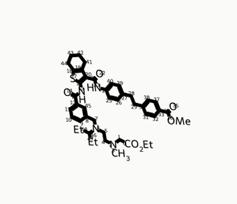 CCOC(=O)CN(C)CCN(Cc1cccc(C(=O)Nc2sc3c(c2C(=O)Nc2ccc(CCc4ccc(C(=O)OC)cc4)cc2)CCCC3)c1)C(CC)CC